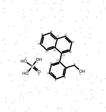 O=P(O)(O)O.OCc1ccccc1-c1cccc2ccccc12